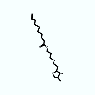 C=CCCCCCCCC(=O)OCCCOCCC1OCC(C)[C@@H]1C